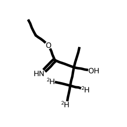 [2H]C([2H])([2H])C(C)(O)C(=N)OCC